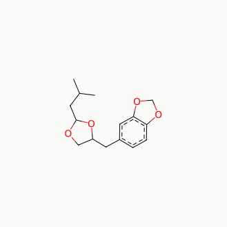 CC(C)CC1OCC(Cc2ccc3c(c2)OCO3)O1